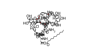 CCCCCCCCCCCC(=O)O.CN[C@H](CC(C)C)C(=O)N[C@H]1C(=O)N[C@@H](CC(N)=O)C(=O)N[C@H]2C(=O)N[C@H]3C(=O)N[C@H](C(=O)N[C@@H](C(=O)O)c4cc(O)cc(O)c4-c4cc3ccc4O)[C@H](O)c3ccc(c(Cl)c3)Oc3cc2cc(c3O[C@@H]2O[C@H](CO)[C@@H](O)[C@H](O)[C@H]2O[C@H]2C[C@](C)(N)C(O)[C@H](C)O2)Oc2ccc(cc2Cl)[C@H]1O